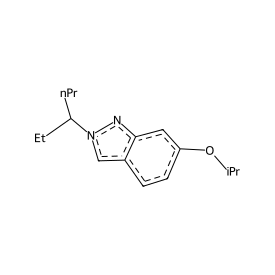 CCCC(CC)n1cc2ccc(OC(C)C)cc2n1